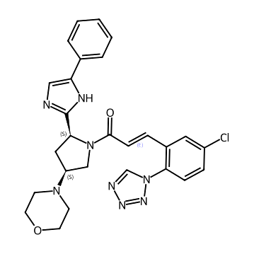 O=C(/C=C/c1cc(Cl)ccc1-n1cnnn1)N1C[C@@H](N2CCOCC2)C[C@H]1c1ncc(-c2ccccc2)[nH]1